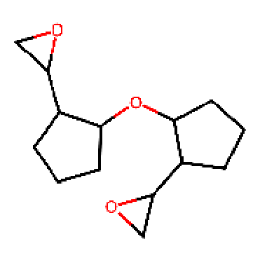 C1CC(OC2CCCC2C2CO2)C(C2CO2)C1